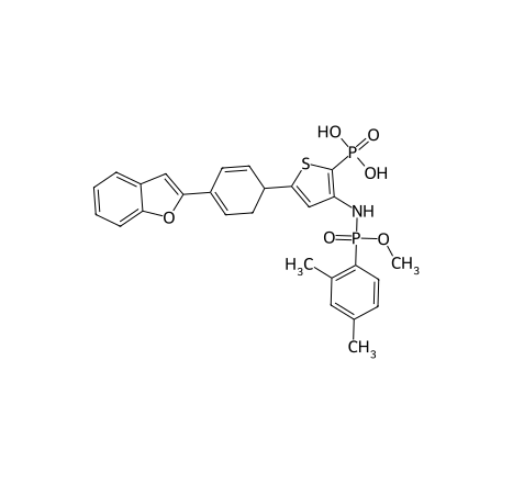 COP(=O)(Nc1cc(C2C=CC(c3cc4ccccc4o3)=CC2)sc1P(=O)(O)O)c1ccc(C)cc1C